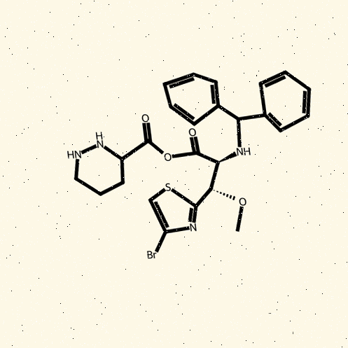 CO[C@H](c1nc(Br)cs1)[C@H](NC(c1ccccc1)c1ccccc1)C(=O)OC(=O)C1CCCNN1